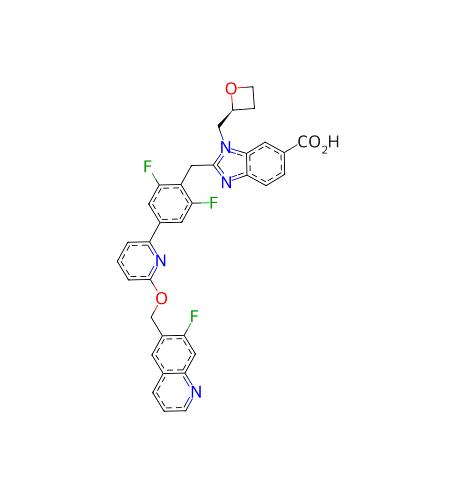 O=C(O)c1ccc2nc(Cc3c(F)cc(-c4cccc(OCc5cc6cccnc6cc5F)n4)cc3F)n(C[C@@H]3CCO3)c2c1